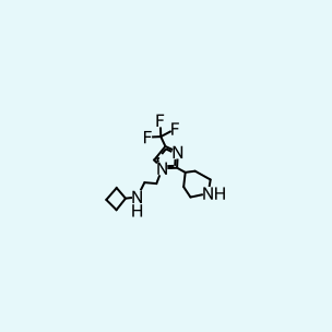 FC(F)(F)c1cn(CCNC2CCC2)c(C2CCNCC2)n1